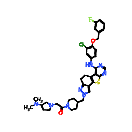 CN(C)[C@@H]1CCN(CC(=O)N2CCC(Cn3cc4c(n3)CCc3c-4sc4ncnc(Nc5ccc(OCc6cccc(F)c6)c(Cl)c5)c34)CC2)C1